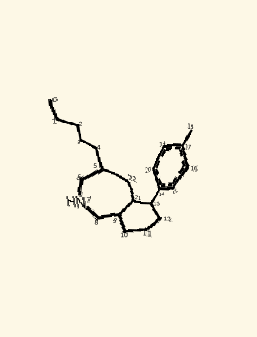 CCCCCC1CNCC2CCCC(c3ccc(C)cc3)C2C1